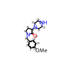 COc1ccc(CN2CCC(N3CCNCC3)C2=O)cc1